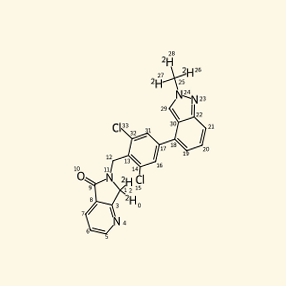 [2H]C1([2H])c2ncccc2C(=O)N1Cc1c(Cl)cc(-c2cccc3nn(C([2H])([2H])[2H])cc23)cc1Cl